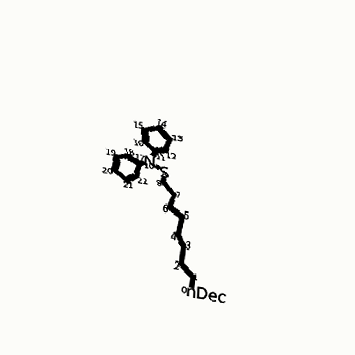 CCCCCCCCCCCCCCCCCCSN(c1ccccc1)c1ccccc1